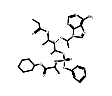 CCC(=O)OC(C)[C@H](OC(C)n1cnc2c(N)ncnc21)C(C)OP(=O)(NC(C)C(=O)OC1CCCCC1)Oc1ccccc1